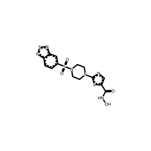 O=C(NO)c1cnc(N2CCN(S(=O)(=O)c3ccc4nsnc4c3)CC2)s1